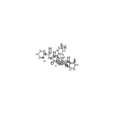 C[C@H](NC(=O)[C@@H](CC(O)N1CCCC[C@H]1C)NC(=O)C1CCC(F)(F)CC1)NC1(c2nc3cccc(F)c3[nH]2)CC1